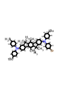 Bc1ccc(N(c2ccc(C(C)(C)C)cc2)c2ccc3c(c2)C(C)(C)c2c(C)c4c(c(C)c2-3)C(C)(C)c2cc(N(c3ccc(Br)cc3)c3ccc(C(C)(C)C)cc3)ccc2-4)cc1